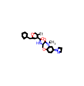 CCC1=C(C(=O)N[C@@H]2COc3ccc(-n4cccn4)cc3N(C)C2=O)C=C(Cc2ccccc2)OC1